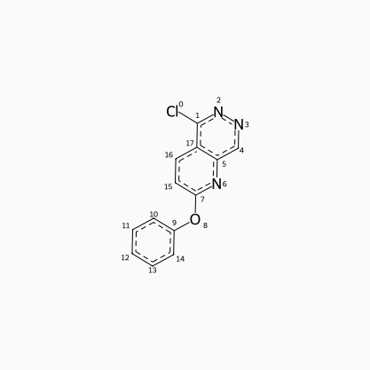 Clc1nncc2nc(Oc3ccccc3)ccc12